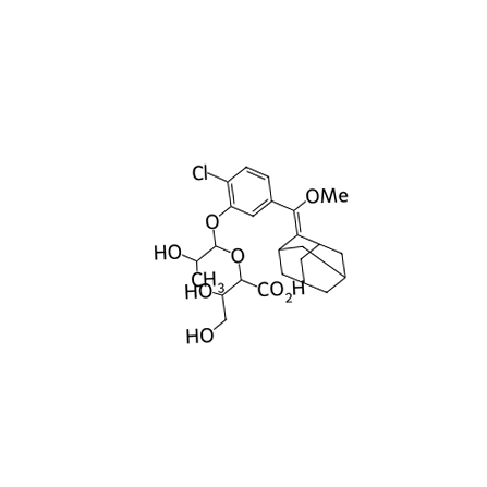 COC(=C1C2CC3CC(C2)CC1C3)c1ccc(Cl)c(OC(OC(C(=O)O)C(O)CO)C(C)O)c1